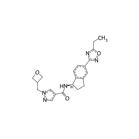 CCc1nc(-c2ccc3c(c2)CC[C@H]3NC(=O)c2cnn(CC3COC3)c2)no1